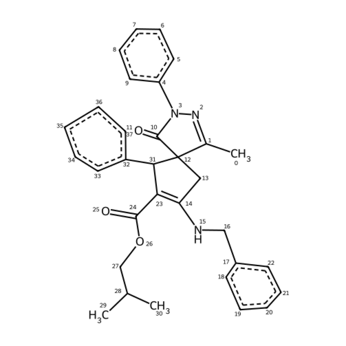 CC1=NN(c2ccccc2)C(=O)C12CC(NCc1ccccc1)=C(C(=O)OCC(C)C)C2c1ccccc1